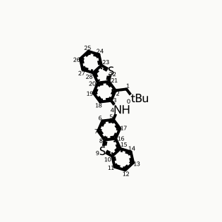 CC(C)(C)Cc1c(Nc2ccc3sc4ccccc4c3c2)ccc2c1sc1ccccc12